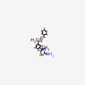 C/C(=N\OCc1ccccc1)c1cccc(C2(C)CCSC(N)=N2)c1